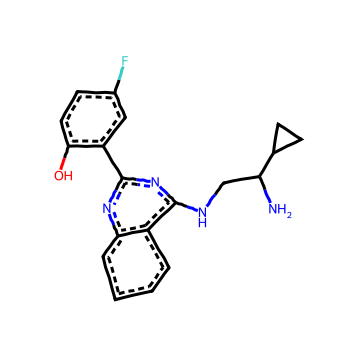 NC(CNc1nc(-c2cc(F)ccc2O)nc2ccccc12)C1CC1